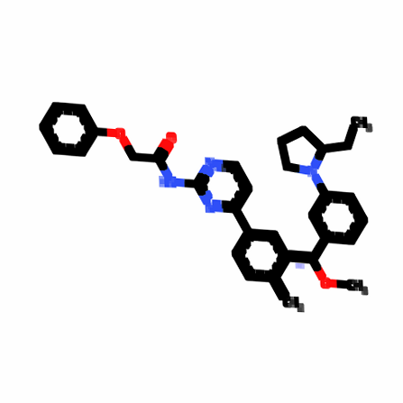 C=c1ccc(-c2ccnc(NC(=O)COc3ccccc3)n2)c/c1=C(/OC)c1cccc(N2CCCC2CC)c1